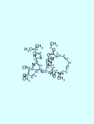 CCOC(=O)[C@@]12CC1/C=C\CCCCN(C)C(=O)[C@@H]1C[C@H](Oc3cc(-c4nc(C(C)C)cs4)nc4c(Cl)c(OC)ccc34)C[C@H]1C(=O)N2